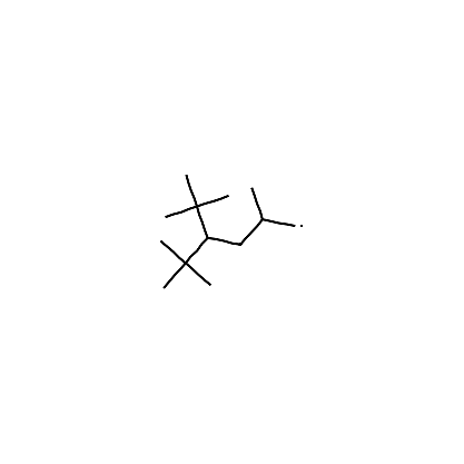 [CH2]C(C)CC(C(C)(C)C)C(C)(C)C